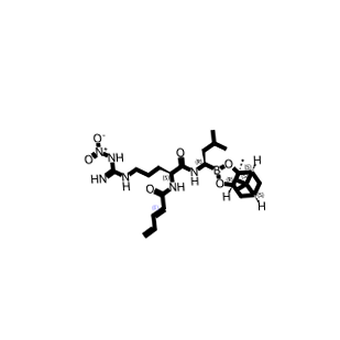 C=C/C=C/C(=O)N[C@@H](CCCNC(=N)N[N+](=O)[O-])C(=O)N[C@@H](CC(C)C)B1O[C@@H]2C[C@@H]3C[C@@H](C3(C)C)[C@]2(C)O1